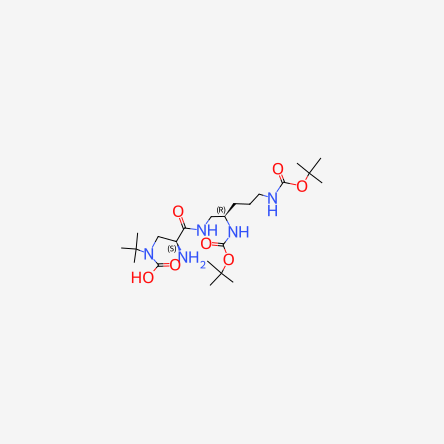 CC(C)(C)OC(=O)NCCC[C@H](CNC(=O)[C@@H](N)CN(C(=O)O)C(C)(C)C)NC(=O)OC(C)(C)C